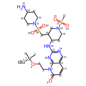 CC(C)(C)[Si](C)(C)OCCn1c(=O)ccc2cnc(NC3CCN(S(C)(=O)=O)CC3CS(=O)(=O)N3CCC(N)CC3)nc21